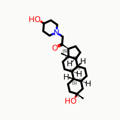 C[C@@]1(O)CC[C@H]2[C@@H](CC[C@@H]3[C@@H]2CC[C@]2(C)[C@@H](C(=O)CN4CCC(O)CC4)CC[C@@H]32)C1